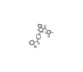 Cc1cc(Nc2nc(N3CCN(C(=O)c4ccccc4Br)CC3)nn3cccc23)n[nH]1